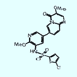 COc1ncc(-c2ccc3ncc(OC)c(=O)n3c2)cc1NS(=O)(=O)c1ccc(Cl)s1